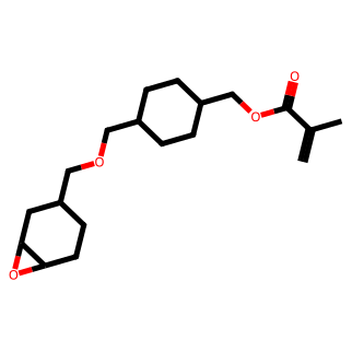 C=C(C)C(=O)OCC1CCC(COCC2CCC3OC3C2)CC1